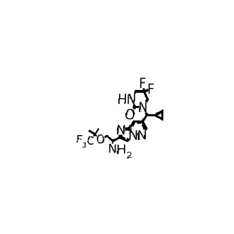 CC(C)(OC[C@H](N)c1cn2ncc(C(C3CC3)N3CC(F)(F)CNC3=O)cc2n1)C(F)(F)F